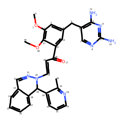 COc1cc(Cc2cnc(N)nc2N)cc(C(=O)/C=C/N2N=Cc3ccccc3C2c2cccnc2C)c1OC